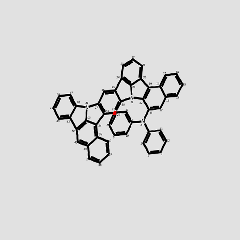 c1ccc(N(c2ccccc2)c2cc3ccccc3c3c4cccc5c6cc7c(nc6n(c23)c54)c2c3ccccc3cc3c4ccccc4n7c32)cc1